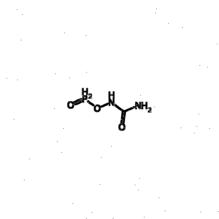 NC(=O)NO[PH2]=O